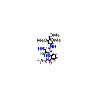 C=C(/C=C(OC)\C(=C\OC)OC)N/C=N/C(Nc1ccccc1C(=O)NCC(F)(F)F)C(Br)C=N